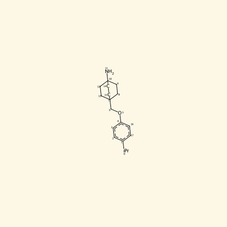 CC(C)c1ccc(OCC23CCC(N)(CC2)CC3)cc1